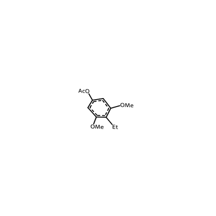 CCc1c(OC)cc(OC(C)=O)cc1OC